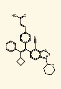 N#Cc1c(/C(=C(/c2ccccc2)C2CCC2)c2ccc(/C=C/C(=O)O)cc2)ccc2c1cnn2C1CCCCO1